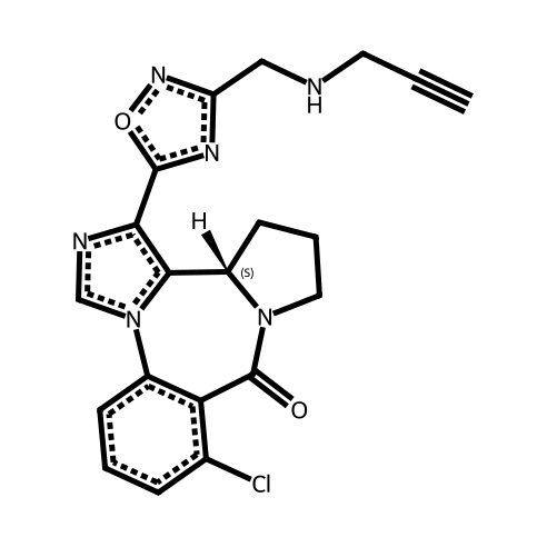 C#CCNCc1noc(-c2ncn3c2[C@@H]2CCCN2C(=O)c2c(Cl)cccc2-3)n1